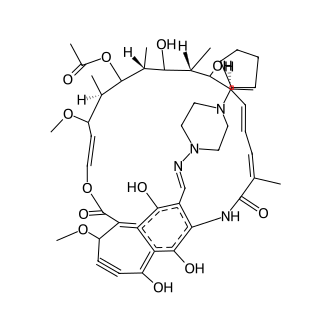 COC1C#CC(O)=c2c(O)c3c(/C=N/N4CCN(C5CCCC5)CC4)c(O)c2=C1C(=O)O/C=C/C(OC)[C@@H](C)C(OC(C)=O)[C@H](C)C(O)[C@H](C)C(O)[C@@H](C)/C=C/C=C(/C)C(=O)N3